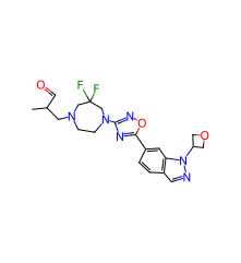 CC(C=O)CN1CCN(c2noc(-c3ccc4cnn(C5COC5)c4c3)n2)CC(F)(F)C1